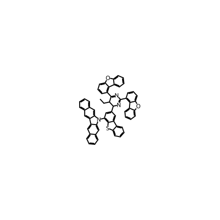 CCC1C(c2cccc3oc4ccccc4c23)=NC(c2cccc3oc4ccccc4c23)=NC1c1cc(-n2c3cc4ccccc4cc3c3cc4ccccc4cc32)c2sc3ccccc3c2c1